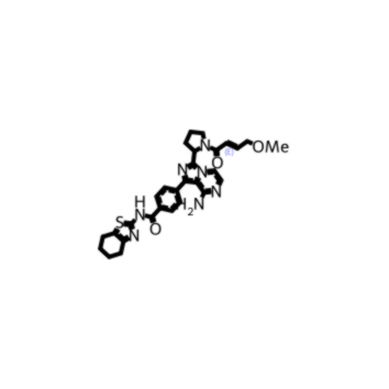 COC/C=C/C(=O)N1CCCC1c1nc(-c2ccc(C(=O)Nc3nc4c(s3)CCCC4)cc2)c2c(N)nccn12